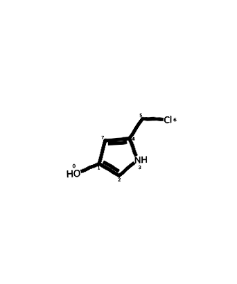 Oc1c[nH]c(CCl)c1